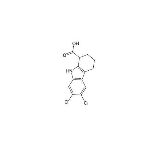 O=C(O)C1CCCc2c1[nH]c1cc(Cl)c(Cl)cc21